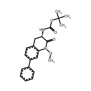 CON1C(=O)[C@H](NC(=O)OC(C)(C)C)Cc2ccc(-c3ccccc3)cc21